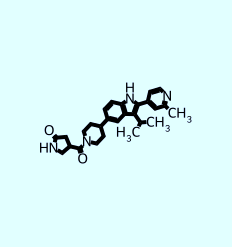 Cc1cc(-c2[nH]c3ccc(C4CCN(C(=O)C5CNC(=O)C5)CC4)cc3c2C(C)C)ccn1